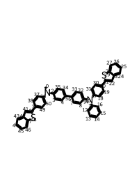 CN(c1ccc(-c2ccc(N(c3ccccc3)c3ccc(-c4cc5ccccc5s4)cc3)cc2)cc1)c1ccc(-c2cc3ccccc3s2)cc1